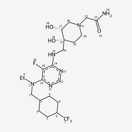 CCN(CC1CCC(C(F)(F)F)CC1)c1ncnc(NC[C@]2(O)CCN(CC(N)=O)C[C@H]2O)c1F